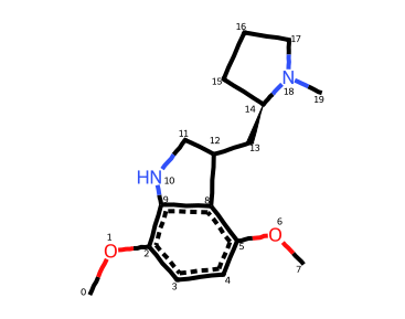 COc1ccc(OC)c2c1NCC2C[C@H]1CCCN1C